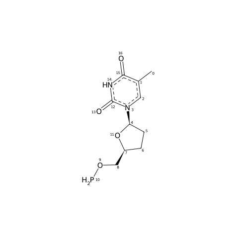 Cc1cn([C@H]2CC[C@@H](COP)O2)c(=O)[nH]c1=O